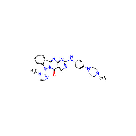 CN1CCN(c2ccc(Nc3ncc4c(=O)n5c(nc4n3)c3ccccc3n5-c3nccn3C)cc2)CC1